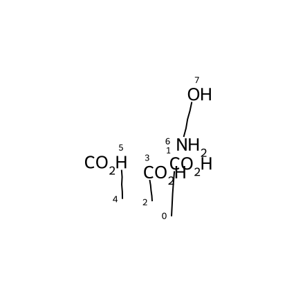 CC(=O)O.CC(=O)O.CC(=O)O.NO